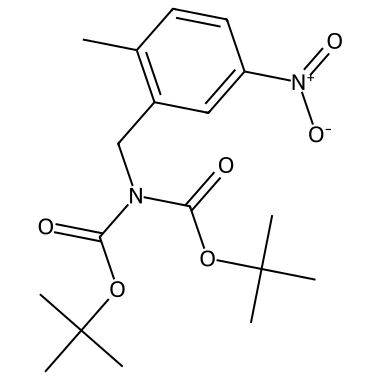 Cc1ccc([N+](=O)[O-])cc1CN(C(=O)OC(C)(C)C)C(=O)OC(C)(C)C